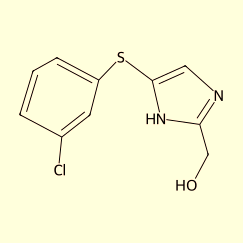 OCc1ncc(Sc2cccc(Cl)c2)[nH]1